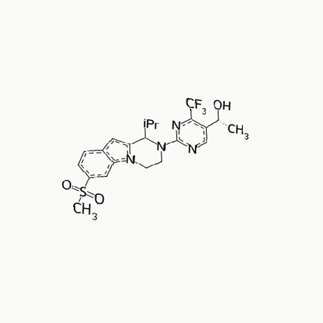 CC(C)C1c2cc3ccc(S(C)(=O)=O)cc3n2CCN1c1ncc([C@@H](C)O)c(C(F)(F)F)n1